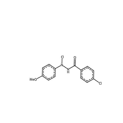 COc1ccc(N(Cl)NC(=O)c2ccc(Cl)cc2)cc1